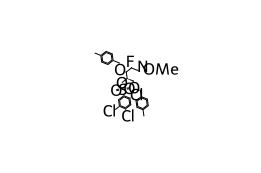 CON=C[C@@H](F)[C@H](OCc1ccc(C)cc1)[C@@H](COCc1ccc(C)cc1)OS(=O)(=O)c1cc(Cl)c(Cl)cc1Cl